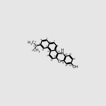 CN(C)c1ccc2ccc3c4c(ccc3c2c1)Oc1cc(O)ccc1N4